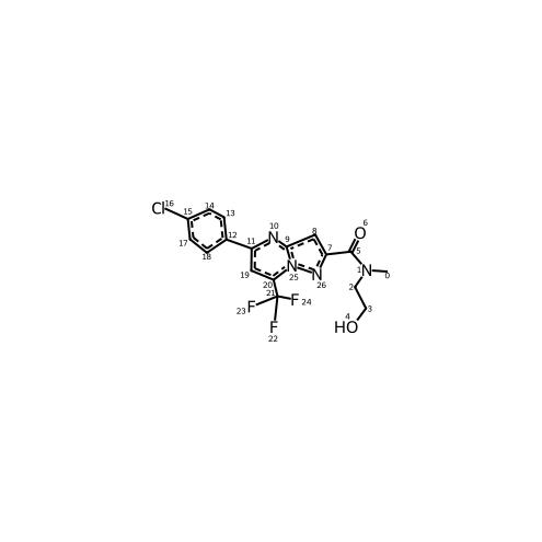 CN(CCO)C(=O)c1cc2nc(-c3ccc(Cl)cc3)cc(C(F)(F)F)n2n1